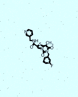 Cc1c(=O)n(Cc2cccc(F)c2)c(=O)n2cc(C(=O)NCc3cccnc3)sc12